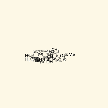 CNC(=O)OC(C(C)C)C1C[C@@H](C)[C@H]2C(O1)[C@H](O)[C@@]1(C)C3CC[C@H]4C(C)(C)C(O)CCC45CC35CCC21C